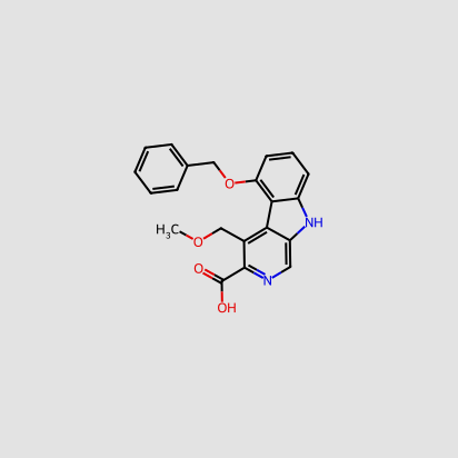 COCc1c(C(=O)O)ncc2[nH]c3cccc(OCc4ccccc4)c3c12